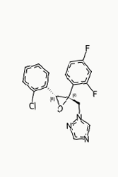 Fc1ccc([C@]2(Cn3cncn3)O[C@@H]2c2ccccc2Cl)c(F)c1